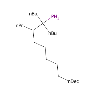 CCCCCCCCCCCCCCCC(CCC)C(P)(CCCC)CCCC